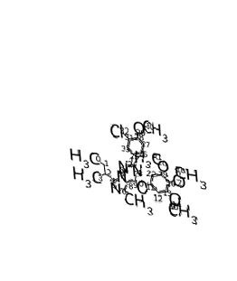 CCC(C)c1nc(C)c2c(Oc3cc(OC)c(OC)c(OC)c3)nc(-c3ccc(OC)c(Cl)c3)nn12